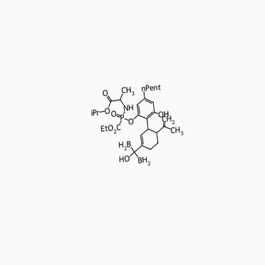 BC(B)(O)C1=CC(c2c(O)cc(CCCCC)cc2OP(=O)(NC(C)C(=O)OC(C)C)C(=O)OCC)C(C(=C)C)CC1